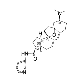 CN(C)[C@H]1CCC2=CC3=CC[C@]4(C)[C@@H](C(=O)Nc5cccnc5)CC[C@H]4[C@@]34CCC2(C1)O4